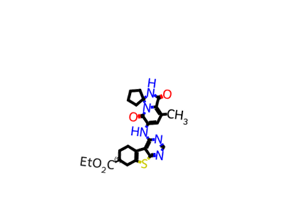 CCOC(=O)[C@H]1CCc2c(sc3ncnc(Nc4cc(C)c5n(c4=O)C4(CCCC4)NC5=O)c23)C1